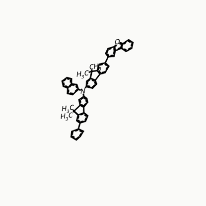 CC1(C)c2cc(-c3ccccc3)ccc2-c2ccc(N(c3ccc4c(c3)C(C)(C)c3cc(-c5ccc6oc7ccccc7c6c5)ccc3-4)c3ccc4ccccc4c3)cc21